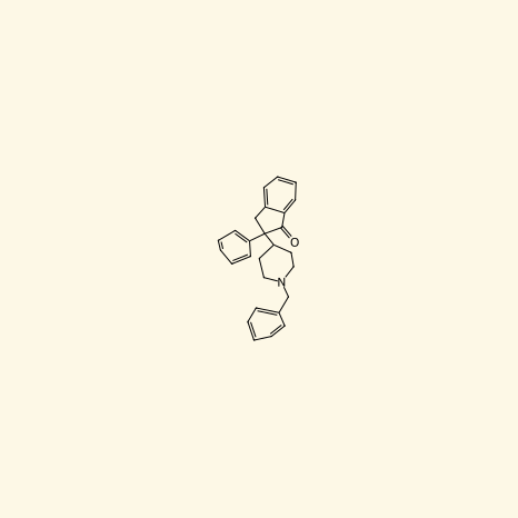 O=C1c2ccccc2CC1(c1ccccc1)C1CCN(Cc2ccccc2)CC1